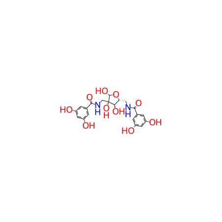 O=C(NC[C@H]1OC(O)[C@@](O)(CNC(=O)c2cc(O)cc(O)c2)[C@@H]1O)c1cc(O)cc(O)c1